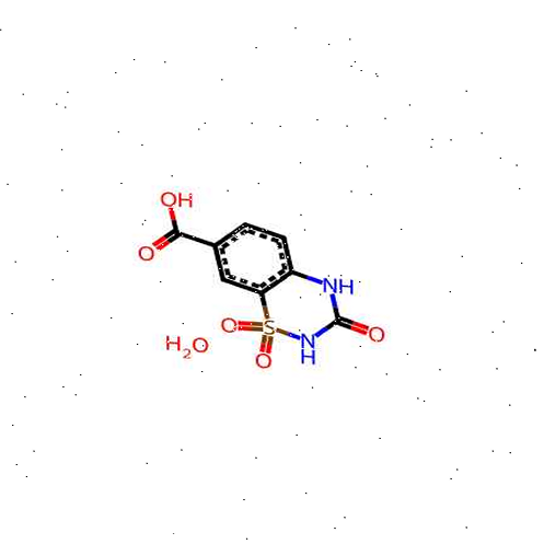 O.O=C1Nc2ccc(C(=O)O)cc2S(=O)(=O)N1